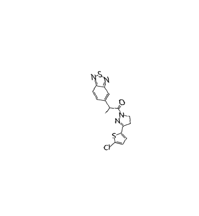 CC(C(=O)N1CCC(c2ccc(Cl)s2)=N1)c1ccc2nsnc2c1